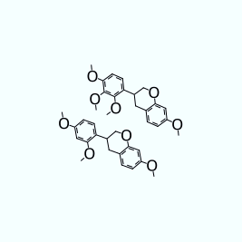 COc1ccc2c(c1)OCC(c1ccc(OC)c(OC)c1OC)C2.COc1ccc2c(c1)OCC(c1ccc(OC)cc1OC)C2